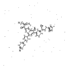 CN(C)C(=O)c1cc2c(-c3ccc(N4CCNCC4)cc3)cc(C3=CCCN(C(=O)CCn4cccn4)C3)c(F)c2s1